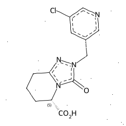 O=C(O)[C@@H]1CCCc2nn(Cc3cncc(Cl)c3)c(=O)n21